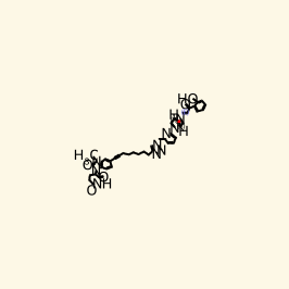 Cn1c(=O)n(C2CCC(=O)NC2=O)c2ccc(C#CCCCCCCc3cn(Cc4cccc(N5C[C@H]6C[C@@H]5CN6/C=C/C(=O)c5ccccc5O)n4)nn3)cc21